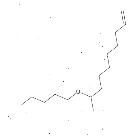 [CH]=CCCCCCCC(C)OCCCCC